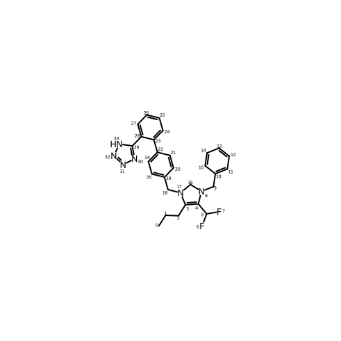 CCCC1=C(C(F)F)N(Cc2ccccc2)CN1Cc1ccc(-c2ccccc2-c2nnn[nH]2)cc1